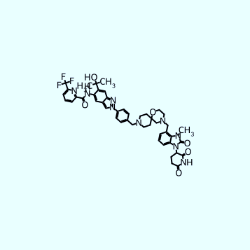 Cn1c(=O)n(C2CCC(=O)NC2=O)c2cccc(CN3CCOC4(CCN(Cc5ccc(-n6cc7cc(NC(=O)c8cccc(C(F)(F)F)n8)c(C(C)(C)O)cc7n6)cc5)CC4)C3)c21